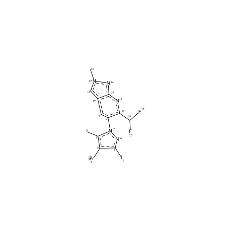 Cc1c(C(C)C)c(I)nn1-c1cc2cn(C)nc2nc1C(F)F